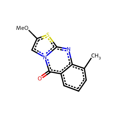 COc1cn2c(=O)c3cccc(C)c3nc2s1